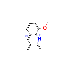 C=C/C=C1/C=CC=C(OC)/C1=N/C=C